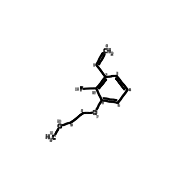 C=Cc1cccc(OCCOC)c1F